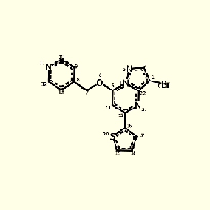 Brc1cnn2c(OCc3ccncc3)cc(-c3cccs3)nc12